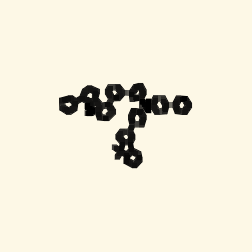 CC1(C)c2ccccc2-c2cc(-c3ccc(N(c4ccc(-c5ccccc5)cc4)c4cccc(-c5cccc(-c6cccc7sc8c(-c9ccccc9)cccc8c67)c5)c4)cc3)ccc21